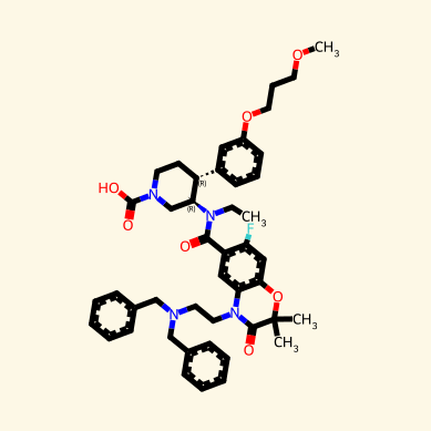 CCN(C(=O)c1cc2c(cc1F)OC(C)(C)C(=O)N2CCN(Cc1ccccc1)Cc1ccccc1)[C@H]1CN(C(=O)O)CC[C@@H]1c1cccc(OCCCOC)c1